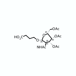 CC(=O)N[C@H]1[C@H](OCCCC(=O)O)O[C@H](COC(C)=O)[C@H](OC(C)=O)[C@@H]1OC(C)=O